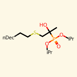 CCCCCCCCCCCCSCC(C)(O)P(=O)(OC(C)C)OC(C)C